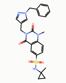 Cn1c(=O)n(Cc2cnn(Cc3ccccc3)c2)c(=O)c2cc(S(=O)(=O)NC3(C)CC3)ccc21